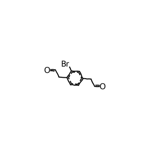 O=CCc1ccc(CC=O)c(Br)c1